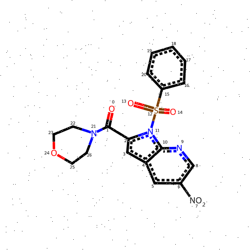 O=C(c1cc2cc([N+](=O)[O-])cnc2n1S(=O)(=O)c1ccccc1)N1CCOCC1